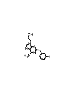 Nc1nc(Cc2cccc(I)c2)nc2c1ncn2CCO